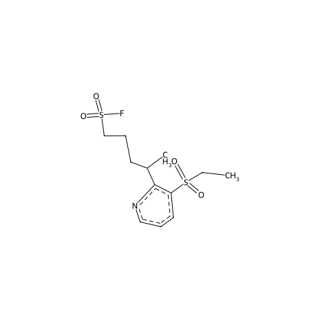 CCS(=O)(=O)c1cccnc1C(C)CCCS(=O)(=O)F